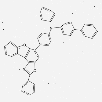 c1ccc(-c2ccc(N(c3ccccc3)c3ccc(-c4cc5oc(-c6ccccc6)nc5c5c4oc4ccccc45)cc3)cc2)cc1